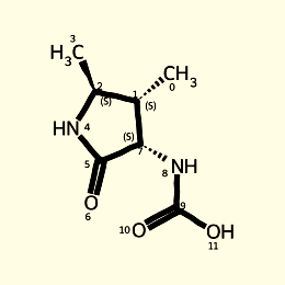 C[C@H]1[C@H](C)NC(=O)[C@H]1NC(=O)O